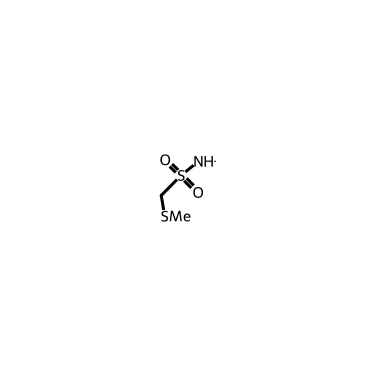 CSCS([NH])(=O)=O